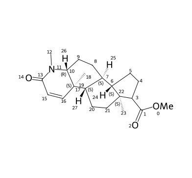 COC(=O)C1CC[C@H]2[C@@H]3CC[C@H]4N(C)C(=O)C=C[C@]4(C)[C@H]3CC[C@]12C